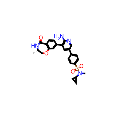 C[C@H]1COc2cc(-c3cc(-c4ccc(S(=O)(=O)N(C)C5CC5)cc4)cnc3N)ccc2C(=O)N1